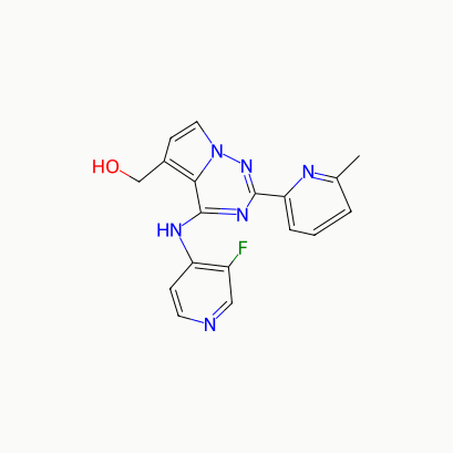 Cc1cccc(-c2nc(Nc3ccncc3F)c3c(CO)ccn3n2)n1